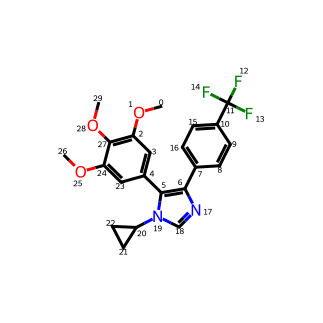 COc1cc(-c2c(-c3ccc(C(F)(F)F)cc3)ncn2C2CC2)cc(OC)c1OC